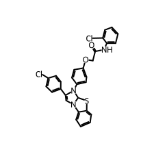 O=C(COc1ccc(N2C(c3ccc(Cl)cc3)=CN3c4ccccc4SC32)cc1)Nc1ccccc1Cl